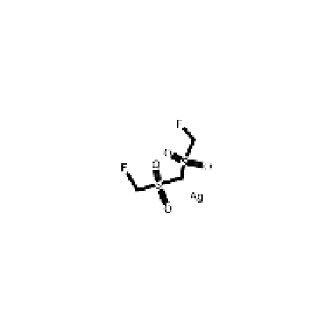 O=S(=O)(CF)CS(=O)(=O)CF.[Ag]